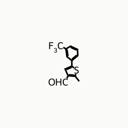 Cc1sc(-c2cccc(C(F)(F)F)c2)cc1C=O